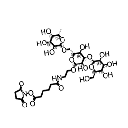 C[C@@H]1O[C@@H](OC[C@H]2O[C@H](OCCNC(=O)CCCCC(=O)ON3C(=O)CCC3=O)[C@@H](O)[C@@H](O[C@H]3O[C@H](CO)[C@@H](O)[C@H](O)[C@@H]3O)[C@@H]2O)[C@@H](O)[C@@H](O)[C@@H]1O